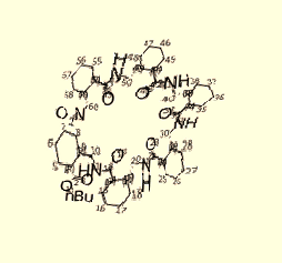 CCCCOC(=O)[C@@H]1CCCC[C@H]1CNC(=O)[C@@H]1CCCC[C@H]1CNC(=O)[C@@H]1CCCC[C@H]1CNC(=O)[C@@H]1CCCC[C@H]1CNC(=O)[C@@H]1CCCC[C@H]1CNC(=O)[C@@H]1CCCC[C@H]1C[N+](=O)[O-]